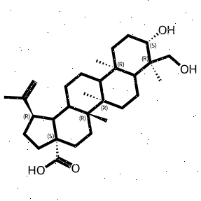 C=C(C)[C@@H]1CC[C@]2(C(=O)O)CC[C@]3(C)C(CCC4[C@@]5(C)CC[C@H](O)[C@@](C)(CO)C5CC[C@]43C)C12